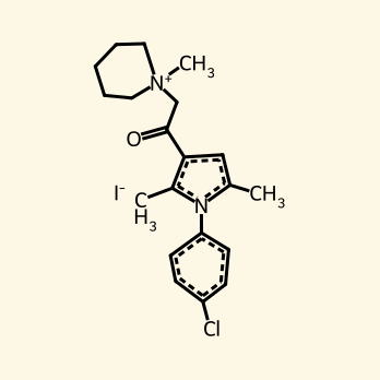 Cc1cc(C(=O)C[N+]2(C)CCCCC2)c(C)n1-c1ccc(Cl)cc1.[I-]